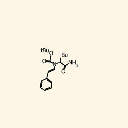 CC[C@H](C)[C@@H](C(N)=O)N(C=Cc1ccccc1)C(=O)OC(C)(C)C